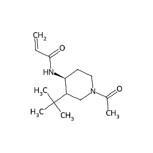 C=CC(=O)N[C@H]1CCN(C(C)=O)CC1C(C)(C)C